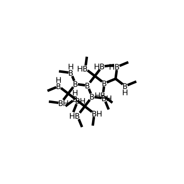 CBB(B(B(BC)C(BC)(BC)BC)C(BC)(BC)B(BC)C(BC)BC)C(BC)(BC)BC